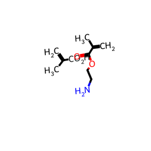 C=C(C)C(=O)O.C=C(C)C(=O)OCCN